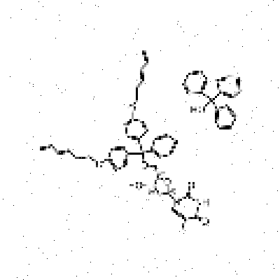 C=CC=CCCOc1ccc(C(OC[C@H]2O[C@@H](n3cc(C)c(=O)[nH]c3=O)C[C@@H]2O)(c2ccccc2)c2ccc(OCCC=CC=C)cc2)cc1.OC(c1ccccc1)(c1ccccc1)c1ccccc1